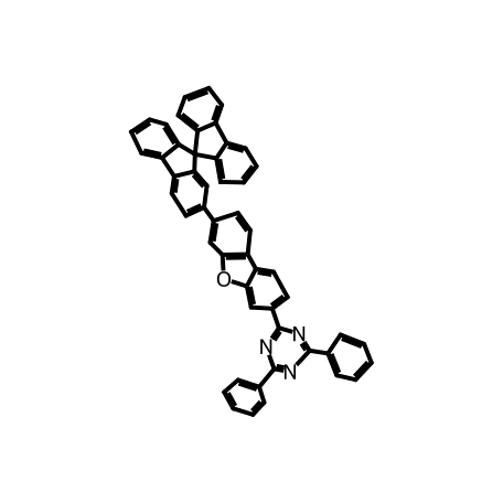 c1ccc(-c2nc(-c3ccccc3)nc(-c3ccc4c(c3)oc3cc(-c5ccc6c(c5)C5(c7ccccc7-c7ccccc75)c5ccccc5-6)ccc34)n2)cc1